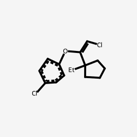 CCC1(C(=CCl)Oc2ccc(Cl)cc2)CCCC1